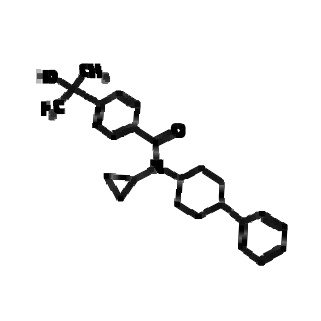 CC(O)(c1ccc(C(=O)N(C2CCC(c3ccccc3)CC2)C2CC2)cc1)C(F)(F)F